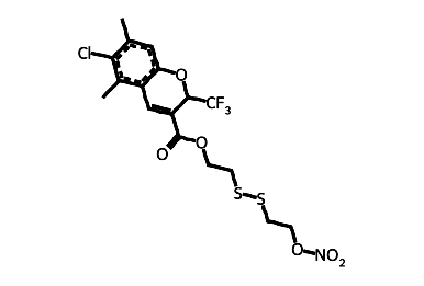 Cc1cc2c(c(C)c1Cl)C=C(C(=O)OCCSSCCO[N+](=O)[O-])C(C(F)(F)F)O2